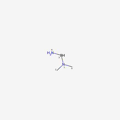 CN(C)BN